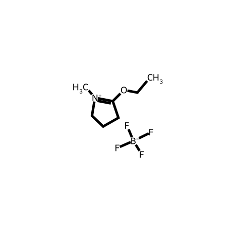 CCOC1=[N+](C)CCC1.F[B-](F)(F)F